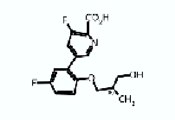 C[C@H](CO)COc1ccc(F)cc1-c1cnc(C(=O)O)c(F)c1